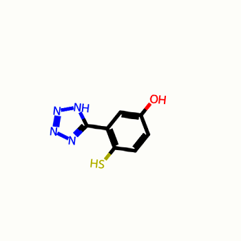 Oc1ccc(S)c(-c2nnn[nH]2)c1